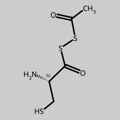 CC(=O)SSC(=O)[C@@H](N)CS